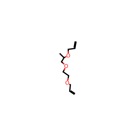 C=CCOCCOCC(C)OCC=C